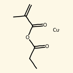 C=C(C)C(=O)OC(=O)CC.[Cu]